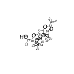 C=C(C)C(=O)OCCC(OCC(C)O)[Si](C)(O[Si](C)(C)C)O[Si](C)(C)C